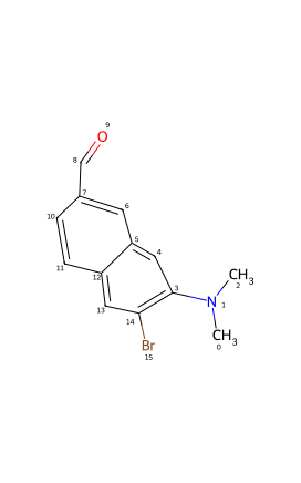 CN(C)c1cc2cc(C=O)ccc2cc1Br